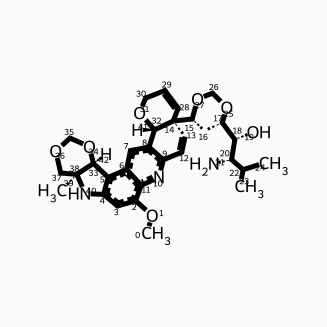 COc1cc2c(c3cc4c(nc13)C=C[C@@]1([C@H]3C[C@@H]([C@H](O)[C@@H](N)C(C)C)OCO3)C=CCO[C@@H]41)[C@@H]1OCOC[C@]1(C)N2